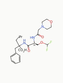 CC(C)CC(Cc1ccccc1)(NC(=O)[C@H](COC(F)F)NC(=O)CN1CCOCC1)C(=O)O